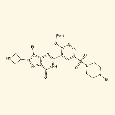 CCCC(C)Oc1ncc(S(=O)(=O)N2CCN(CC)CC2)cc1-c1nc2c(CC)n(C3CNC3)nc2c(=O)[nH]1